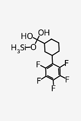 OC(O)(O[SiH3])C1CCCC(c2c(F)c(F)c(F)c(F)c2F)C1